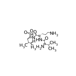 CC(C)C[C@H](NC(=O)[C@H](CCCN)NC(=O)[C@@H](N)C(C)C)C(=O)O